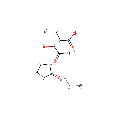 CCC(=O)CO.CCCC(=O)O.CCCOCC.O=C1CCCC1